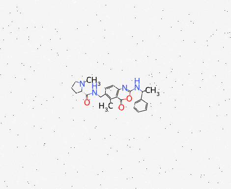 Cc1c(CNC(=O)[C@@H]2CCCN2C)ccc2nc(N[C@@H](C)c3ccccc3)oc(=O)c12